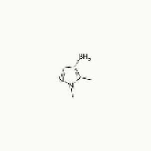 Bc1cnn(C)c1C